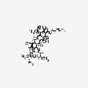 CCCCOc1noc2c1C(=O)[C@@]1(O)C(O)=C3C(=O)c4c(c(Br)c(F)c(CNC(C)(C)C)c4OCCCC)C[C@H]3C[C@H]1[C@@H]2N(C)C